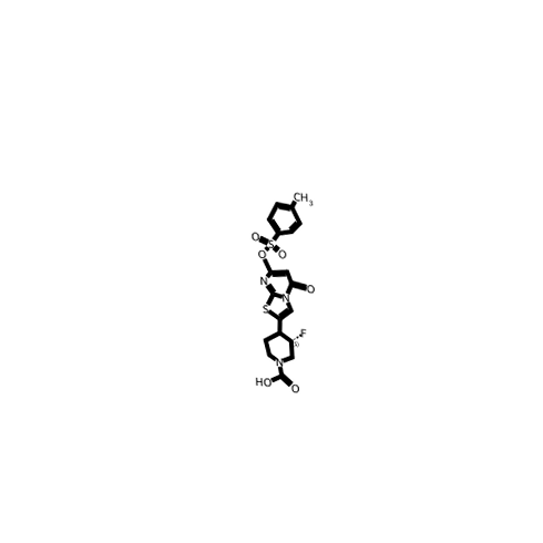 Cc1ccc(S(=O)(=O)Oc2cc(=O)n3cc(C4CCN(C(=O)O)C[C@H]4F)sc3n2)cc1